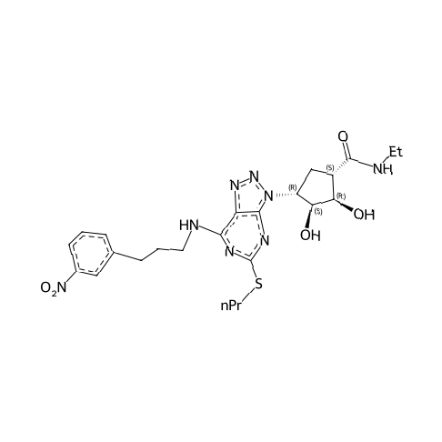 CCCSc1nc(NCCCc2cccc([N+](=O)[O-])c2)c2nnn([C@@H]3C[C@H](C(=O)NCC)[C@@H](O)[C@H]3O)c2n1